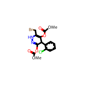 COC(=O)OC1=NNC(CBr)=C(OC(=O)OC)C1c1ccccc1Cl